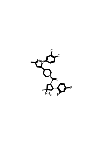 Cc1cc(C2CCN(C(=O)[C@@H]3C[C@@](C)(N)C[C@H]3c3ccc(F)cc3F)CC2)n(-c2ccc(Cl)c(Cl)c2)n1